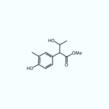 COC(=O)C(c1ccc(O)c(C)c1)C(C)O